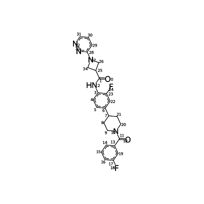 O=C(Nc1ccc(C2CCN(C(=O)c3cccc(F)c3)CC2)cc1F)C1CN(c2cccnn2)C1